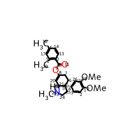 COc1ccc([C@@]23CCC(OC(=O)c4ccc(C)cc4C)=C[C@@H]2N(C)CC3)cc1OC